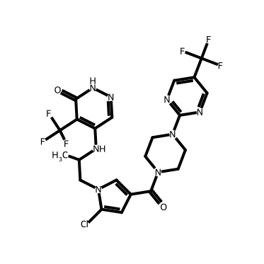 CC(Cn1cc(C(=O)N2CCN(c3ncc(C(F)(F)F)cn3)CC2)cc1Cl)Nc1cn[nH]c(=O)c1C(F)(F)F